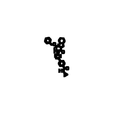 O=C(NC1CC1)c1ccc(-c2csc(NC(=O)C3CC4CCCCC4N3C(=O)OCc3ccccc3)n2)cc1